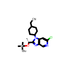 C[C@@H](O[Si](C)(C)C(C)(C)C)c1nc2cnc(Cl)cc2n1C1CCC(CC#N)CC1